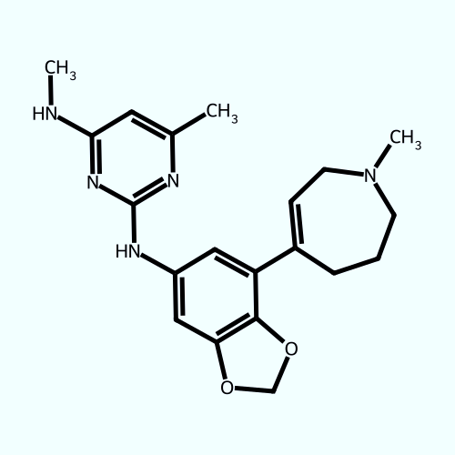 CNc1cc(C)nc(Nc2cc3c(c(C4=CCN(C)CCC4)c2)OCO3)n1